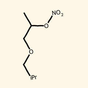 CC(C)COCC(C)O[N+](=O)[O-]